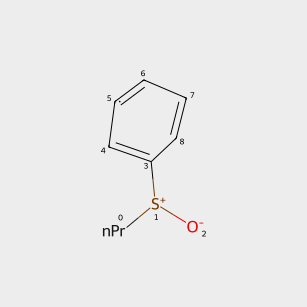 CCC[S+]([O-])c1c[c]ccc1